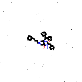 O=C1C(Cc2ccccc2)NC(=O)C2(CCN(CCCCc3ccccc3)CC2)N1CC(c1ccccc1)c1ccccc1